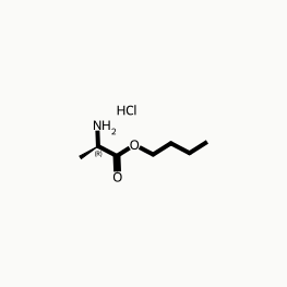 CCCCOC(=O)[C@@H](C)N.Cl